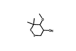 COC1C(O)CSSC1(C)C